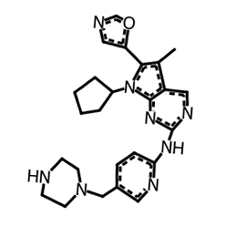 Cc1c(-c2cnco2)n(C2CCCC2)c2nc(Nc3ccc(CN4CCNCC4)cn3)ncc12